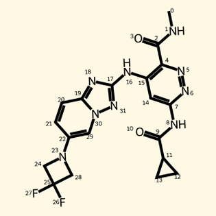 CNC(=O)c1nnc(NC(=O)C2CC2)cc1Nc1nc2ccc(N3CC(F)(F)C3)cn2n1